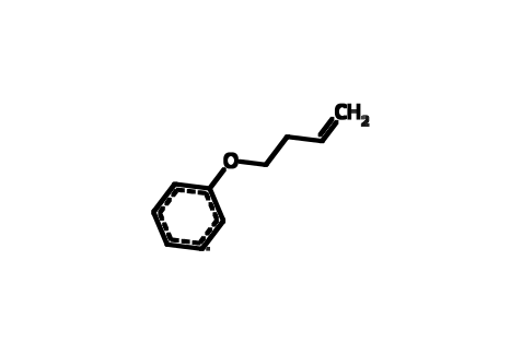 C=CCCOc1c[c]ccc1